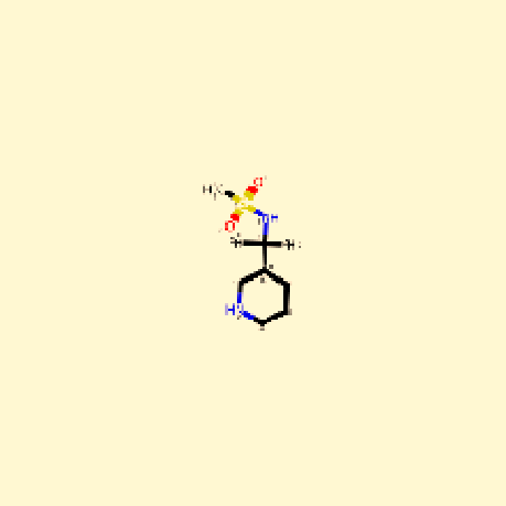 [2H]C([2H])(NS(C)(=O)=O)[C@H]1CCCNC1